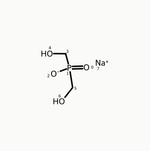 O=P([O-])(CO)CO.[Na+]